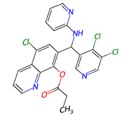 CCC(=O)Oc1c(C(Nc2ccccn2)c2cncc(Cl)c2Cl)cc(Cl)c2cccnc12